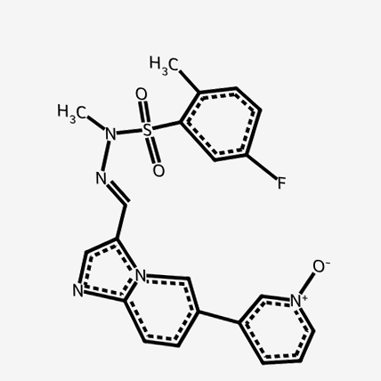 Cc1ccc(F)cc1S(=O)(=O)N(C)N=Cc1cnc2ccc(-c3ccc[n+]([O-])c3)cn12